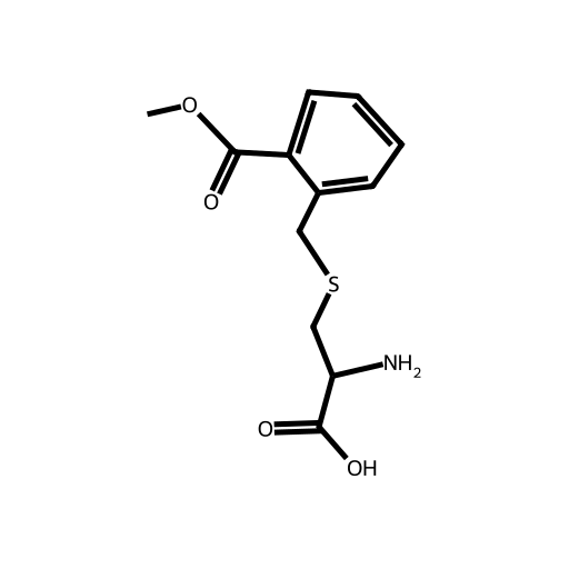 COC(=O)c1ccccc1CSCC(N)C(=O)O